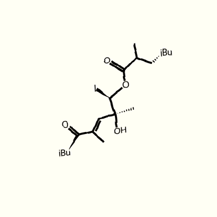 CC[C@@H](C)CC(C)C(=O)O[C@H](I)[C@@](C)(O)/C=C(\C)C(=O)[C@H](C)CC